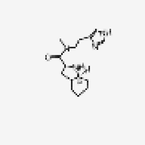 CN(CCc1c[nH]cn1)C(=O)C1CC2CCCC[C@@H]2N1